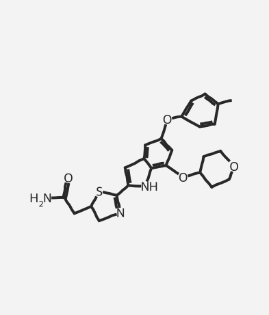 Cc1ccc(Oc2cc(OC3CCOCC3)c3[nH]c(C4=NCC(CC(N)=O)S4)cc3c2)cc1